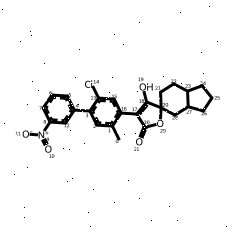 Cc1cc(-c2cccc([N+](=O)[O-])c2)c(Cl)cc1C1=C(O)C2(CCC3CCCC3C2)OC1=O